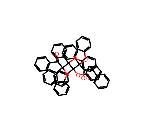 O=C(c1ccccc1)C(Oc1ccccc1)(c1ccccc1)C(Oc1ccccc1)(c1ccccc1)C(Oc1ccccc1)(c1ccccc1)C(Oc1ccccc1)(c1ccccc1)C(O)Cc1ccccc1